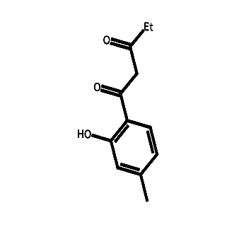 CCC(=O)CC(=O)c1ccc(C)cc1O